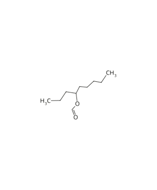 CCCCCC(CCC)OC=O